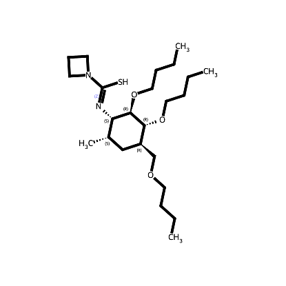 CCCCOC[C@H]1C[C@H](C)[C@H](/N=C(\S)N2CCC2)[C@@H](OCCCC)[C@@H]1OCCCC